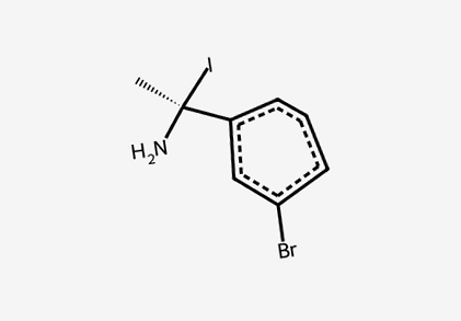 C[C@](N)(I)c1cccc(Br)c1